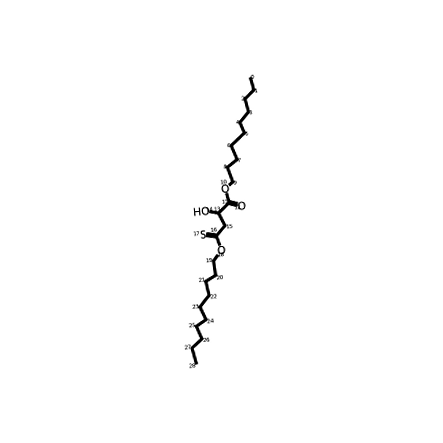 CCCCCCCCCCOC(=O)C(O)CC(=S)OCCCCCCCCCC